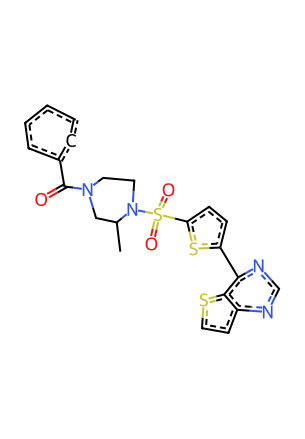 CC1CN(C(=O)c2ccccc2)CCN1S(=O)(=O)c1ccc(-c2ncnc3ccsc23)s1